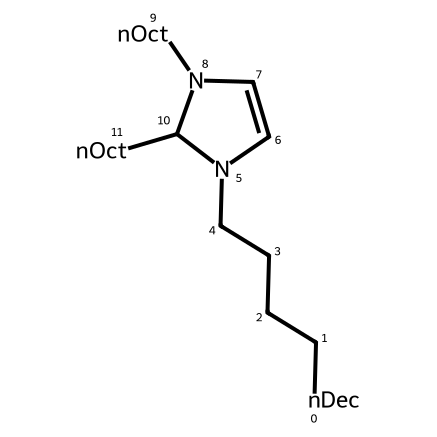 CCCCCCCCCCCCCCN1C=CN(CCCCCCCC)C1CCCCCCCC